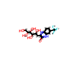 O=c1[nH]c2cc(C(F)(F)F)ccc2nc1C[C@@H](O)C(O)C(O)C(O)CO